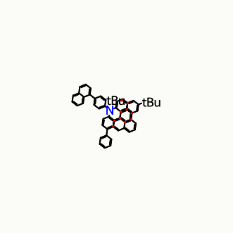 CC(C)(C)c1cc(-c2cccc3cccc(-c4ccccc4N(c4ccc(-c5cccc6ccccc56)cc4)c4ccc(-c5ccccc5)cc4-c4ccccc4)c23)cc(C(C)(C)C)c1